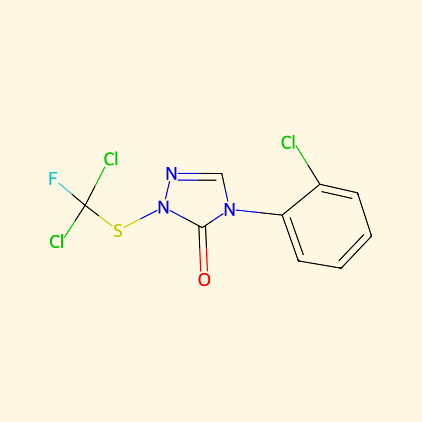 O=c1n(-c2ccccc2Cl)cnn1SC(F)(Cl)Cl